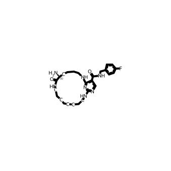 N[C@H]1CCCCNc2nc(ncc2C(=O)NCc2ccc(F)cc2)NCCCCCCCCNC1=O